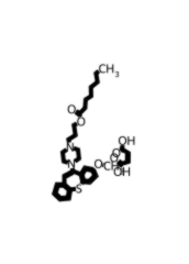 CCCCCCCC(=O)OCCCN1CCN(C2=Cc3ccccc3Sc3ccc(OC)cc32)CC1.O=C(O)/C=C\C(=O)O